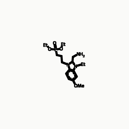 CCOP(=O)(CCCN1c2ccc(OC)cc2N(CC)C1CN)OCC